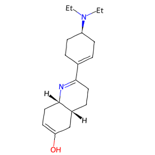 CCN(CC)[C@H]1CC=C(C2=N[C@H]3CC=C(O)C[C@H]3CC2)CC1